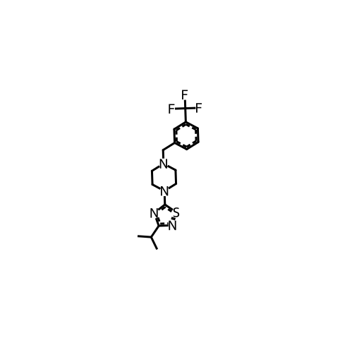 CC(C)c1nsc(N2CCN(Cc3cccc(C(F)(F)F)c3)CC2)n1